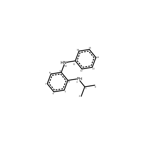 CC(C)Pc1ccccc1Nc1ccccc1